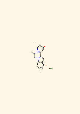 COc1ccc2c(cc3n2CC(C(C)(C)C)n2cc(C(=O)O)c(=O)cc2-3)c1OC(F)F